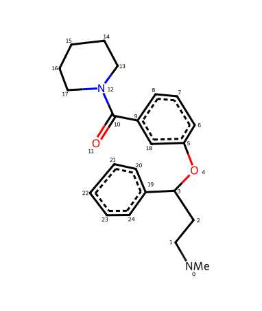 CNCCC(Oc1cccc(C(=O)N2CCCCC2)c1)c1ccccc1